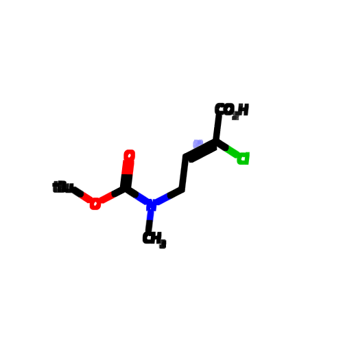 CN(C/C=C(\Cl)C(=O)O)C(=O)OC(C)(C)C